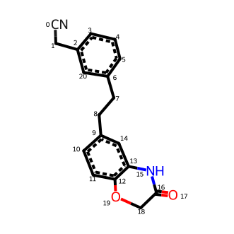 N#CCc1cccc(CCc2ccc3c(c2)NC(=O)CO3)c1